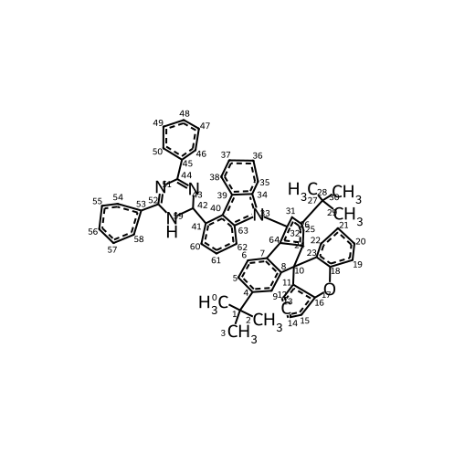 CC(C)(C)c1ccc2c(c1)C1(c3ccccc3Oc3ccccc31)c1cc(C(C)(C)C)cc(-n3c4ccccc4c4c(C5N=C(c6ccccc6)N=C(c6ccccc6)N5)cccc43)c1-2